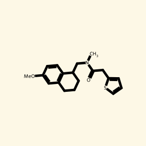 COc1ccc2c(c1)CCCC2CN(C)C(=O)Cc1cccs1